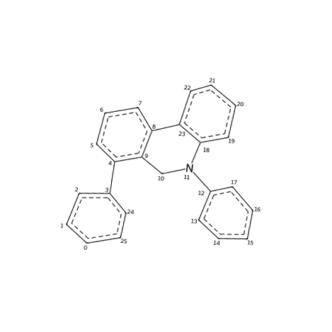 c1ccc(-c2cccc3c2CN(c2ccccc2)c2ccccc2-3)cc1